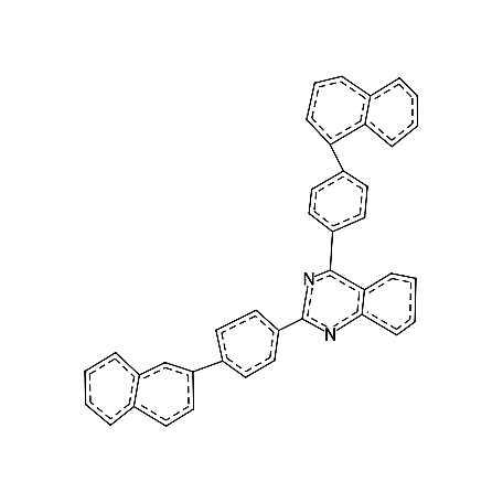 c1ccc2cc(-c3ccc(-c4nc(-c5ccc(-c6cccc7ccccc67)cc5)c5ccccc5n4)cc3)ccc2c1